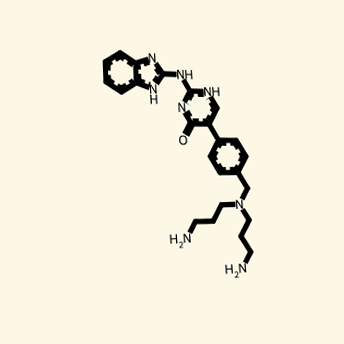 NCCCN(CCCN)Cc1ccc(-c2c[nH]c(Nc3nc4ccccc4[nH]3)nc2=O)cc1